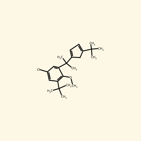 COc1c(C(C)(C)C)cc(Cl)cc1C(C)(C)C1=CC=C(C(C)(C)C)C1